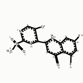 CS(=O)(=O)c1ncc(Cl)c(-c2cc(=O)c3c(F)cc(F)cc3[nH]2)n1